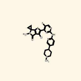 CN1CCC(c2ccc(Nc3ncc(F)c(-c4sc5c(c4Cl)C(=O)N(C)C54CC4)n3)nc2)CC1